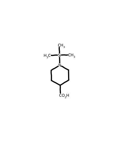 C[Si](C)(C)N1CCC(C(=O)O)CC1